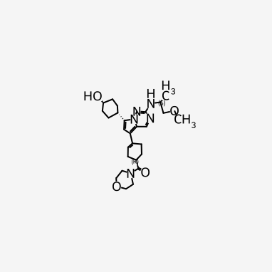 COC[C@H](C)Nc1ncc2c(C3=CC[C@H](C(=O)N4CCOCC4)CC3)cc([C@H]3CC[C@H](O)CC3)n2n1